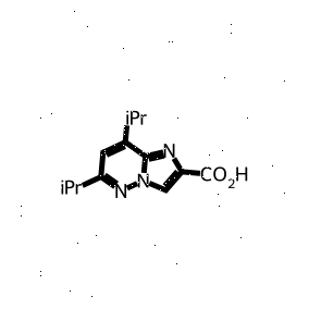 CC(C)c1cc(C(C)C)c2nc(C(=O)O)cn2n1